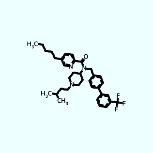 CCCCCc1ccc(C(=O)N(Cc2ccc(-c3cccc(C(F)(F)F)c3)cc2)C2CCN(CCC(C)C)CC2)nc1